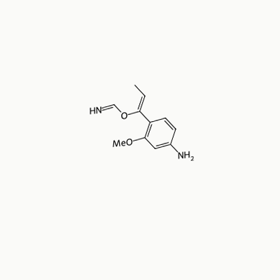 C/C=C(\OC=N)c1ccc(N)cc1OC